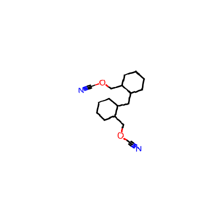 N#COCC1CCCCC1CC1CCCCC1COC#N